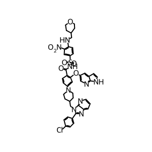 O=C(NS(=O)(=O)c1ccc(NCC2CCOCC2)c([N+](=O)[O-])c1)c1ccc(N2CCC(Cn3c(-c4ccc(Cl)cc4)nc4cccnc43)CC2)cc1Oc1cnc2[nH]ccc2c1